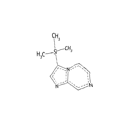 C[Si](C)(C)c1cnc2cnccn12